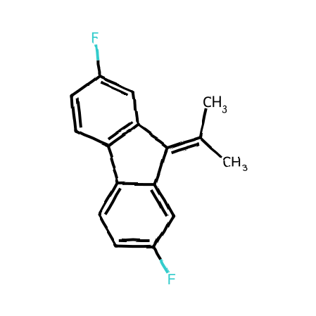 CC(C)=C1c2cc(F)ccc2-c2ccc(F)cc21